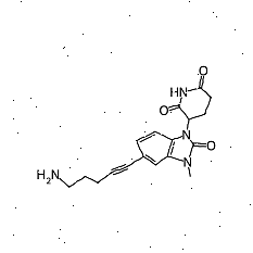 Cn1c(=O)n(C2CCC(=O)NC2=O)c2ccc(C#CCCCN)cc21